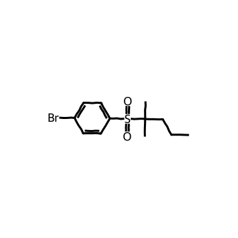 CCCC(C)(C)S(=O)(=O)c1ccc(Br)cc1